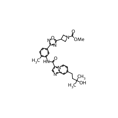 COC(=O)N1CC(c2nc(-c3ccc(C)c(NC(=O)c4cnc5cc(CCC(C)(C)O)ccn45)c3)no2)C1